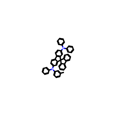 Cc1cccc(N(c2ccccc2)c2ccc3c(c2)C2(c4ccccc4-c4ccccc42)c2cc(N(c4ccccc4)c4ccccc4)ccc2-3)c1